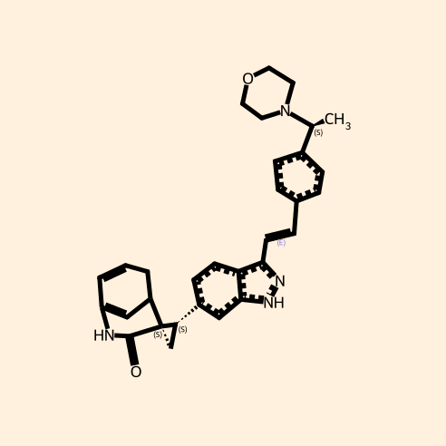 C[C@@H](c1ccc(/C=C/c2n[nH]c3cc([C@@H]4C[C@@]45C(=O)NC4=CC5CC=C4)ccc23)cc1)N1CCOCC1